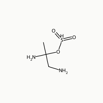 CC(N)(CN)O[SH](=O)=O